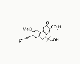 COc1cc2c(cc1C#CC1CC1)C[C@@H](C(C)(C)CO)n1cc(C(=O)O)c(=O)cc1-2